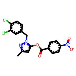 Cc1cc(OC(=O)c2ccc([N+](=O)[O-])cc2)n(Cc2ccc(Cl)c(Cl)c2)n1